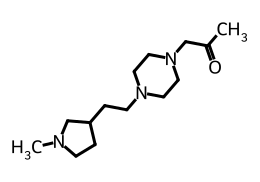 CC(=O)CN1CCN(CCC2CCN(C)C2)CC1